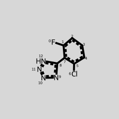 Fc1cccc(Cl)c1-c1nnn[nH]1